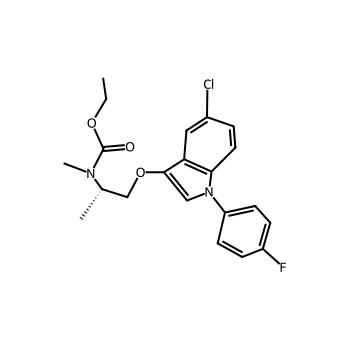 CCOC(=O)N(C)[C@@H](C)COc1cn(-c2ccc(F)cc2)c2ccc(Cl)cc12